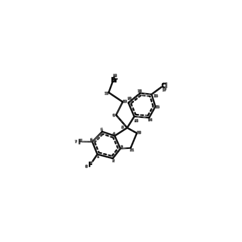 Fc1cc2c(cc1F)C(CCCBr)(c1ccc(Cl)cc1)CC2